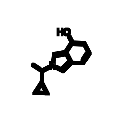 CC(C1CC1)n1cc2cccc(O)c2c1